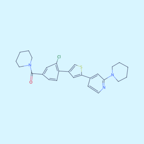 O=C(c1ccc(-c2csc(-c3ccnc(N4CCCCC4)c3)c2)c(Cl)c1)N1CCCCC1